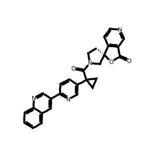 O=C1O[C@]2(CCN(C(=O)C3(c4ccc(-c5cnc6ccccc6c5)nc4)CC3)C2)c2ccncc21